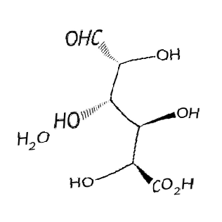 O.O=C[C@H](O)[C@@H](O)[C@@H](O)[C@H](O)C(=O)O